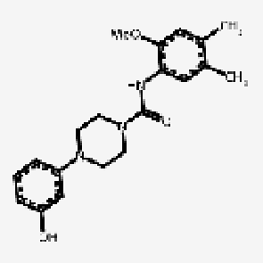 COc1cc(C)c(C)cc1NC(=O)N1CCN(c2cccc(O)c2)CC1